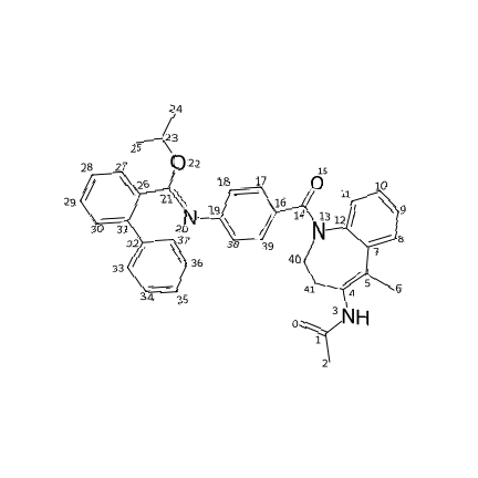 C=C(C)NC1=C(C)c2ccccc2N(C(=O)c2ccc(/N=C(\OC(C)C)c3ccccc3-c3ccccc3)cc2)CC1